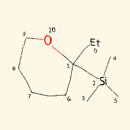 CCC1([Si](C)(C)C)CCCCO1